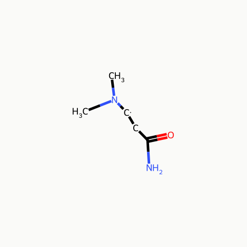 CN(C)[CH]CC(N)=O